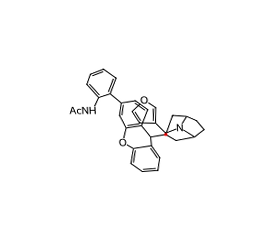 CC(=O)Nc1ccccc1-c1ccc2c(c1)Oc1ccccc1C2C1CC2CCC(C1)N2Cc1ccoc1